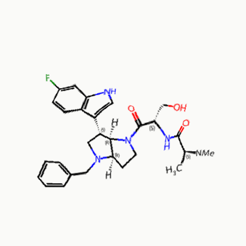 CN[C@@H](C)C(=O)N[C@@H](CO)C(=O)N1CC[C@@H]2[C@H]1[C@@H](c1c[nH]c3cc(F)ccc13)CN2Cc1ccccc1